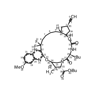 C#C[C@@H]1C[C@H]2CCCCC(F)(F)c3nc4ccc(OC)cc4nc3O[C@H]3CN(C(=O)[C@H](C(C)(C)C)NC(=O)O[C@@H]2C1)[C@H](C(=O)OCC(C)C)[C@@H]3C